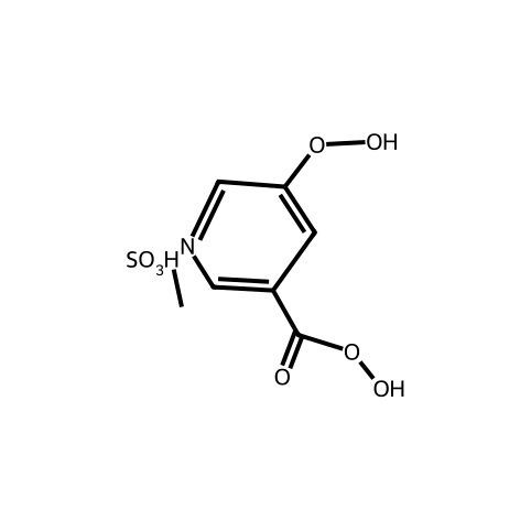 CS(=O)(=O)O.O=C(OO)c1cncc(OO)c1